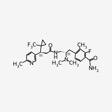 Cc1ccc([C@H](CC(=O)NC[C@H](Cc2ccc(C(N)=O)c(F)c2C)N(C)C)C2(C(F)(F)F)CC2)cn1